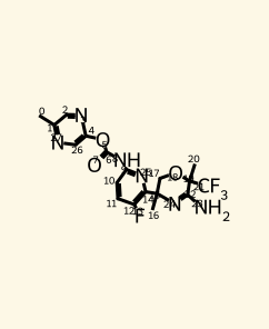 Cc1cnc(OC(=O)Nc2ccc(F)c(C3(C)COC(C)(C(F)(F)F)C(N)=N3)n2)cn1